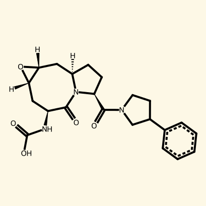 O=C(O)N[C@H]1C[C@@H]2O[C@@H]2C[C@H]2CC[C@@H](C(=O)N3CCC(c4ccccc4)C3)N2C1=O